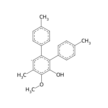 COc1c(C)[c]c(-c2ccc(C)cc2)c(-c2ccc(C)cc2)c1O